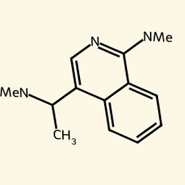 CNc1ncc(C(C)NC)c2ccccc12